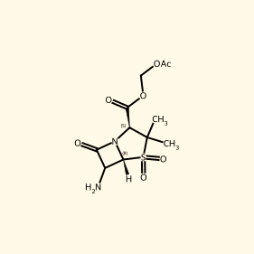 CC(=O)OCOC(=O)[C@@H]1N2C(=O)C(N)[C@H]2S(=O)(=O)C1(C)C